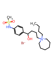 CCCC[N+]1(CCCC(O)c2ccc(NS(C)(=O)=O)cc2)CCCCCC1.[Br-]